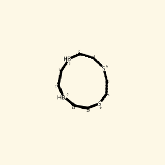 B1CCBCCSCCSCC1